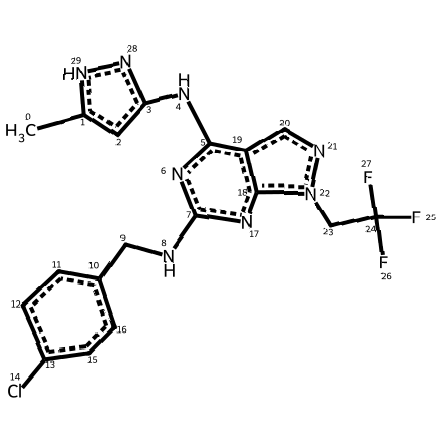 Cc1cc(Nc2nc(NCc3ccc(Cl)cc3)nc3c2cnn3CC(F)(F)F)n[nH]1